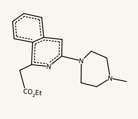 CCOC(=O)Cc1nc(N2CCN(C)CC2)cc2ccccc12